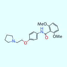 COc1cccc(OC)c1C(=O)Nc1ccc(OCCN2CCCC2)cc1